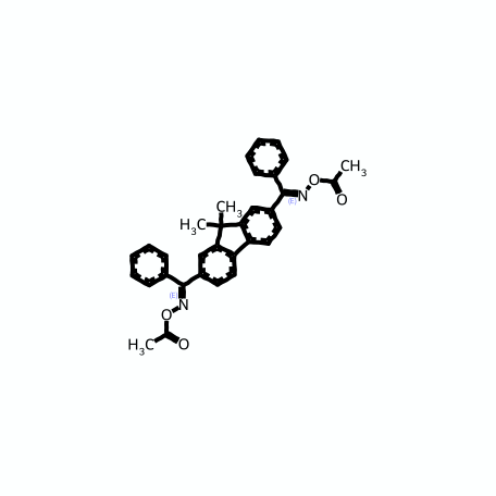 CC(=O)O/N=C(\c1ccccc1)c1ccc2c(c1)C(C)(C)c1cc(/C(=N/OC(C)=O)c3ccccc3)ccc1-2